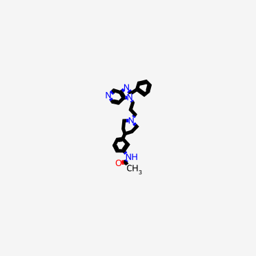 CC(=O)Nc1cccc(C2CCN(CCCn3c(-c4ccccc4)nc4cnccc43)CC2)c1